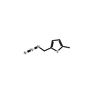 Cc1ccc(CN=[N+]=[N-])s1